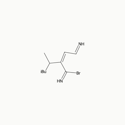 CCC(C)C(C)/C(=C/C=N)C(=N)Br